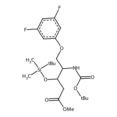 COC(=O)CC(O[Si](C)(C)C(C)(C)C)C(COc1cc(F)cc(F)c1)NC(=O)OC(C)(C)C